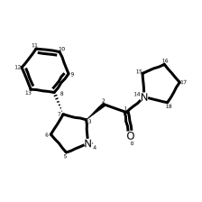 O=C(C[C@H]1[N]CC[C@@H]1c1ccccc1)N1CCCC1